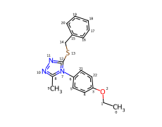 CCOc1ccc(-n2c(C)nnc2SCc2ccccc2)cc1